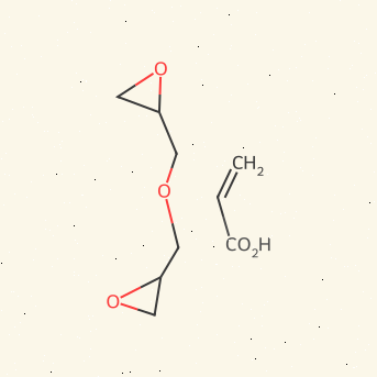 C(OCC1CO1)C1CO1.C=CC(=O)O